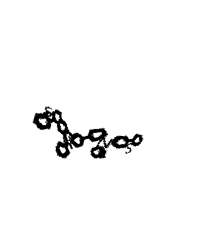 c1ccc(N(c2cccc(-c3ccc4c(c3)c3cc5ccc6sc7ccccc7c6c5cc3n4-c3ccccc3)c2)c2ccc3c(c2)sc2ccccc23)cc1